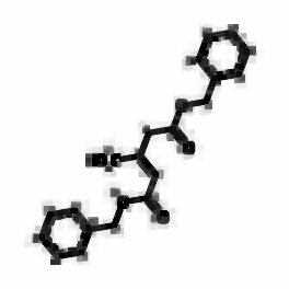 O=C(C=C(CC(=O)OCc1ccccc1)C(=O)O)OCc1ccccc1